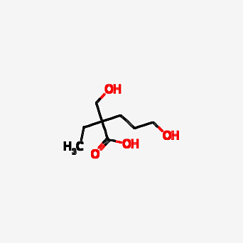 CCC(CO)(CCCO)C(=O)O